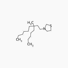 CCCCCCC(C)(CCCCC)CCN1CCSC1